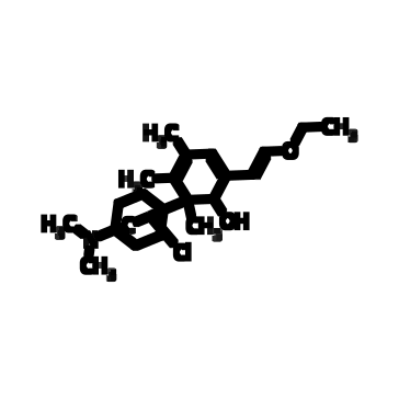 CCO/C=C/C1=CC(C)=C(C)C(C)(C23CCC(N(C)C)(CC2)CC3Cl)C1O